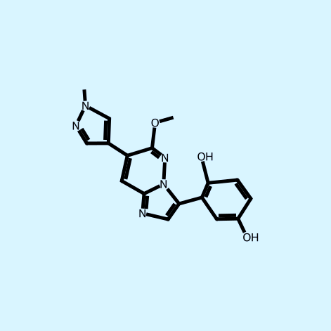 COc1nn2c(-c3cc(O)ccc3O)cnc2cc1-c1cnn(C)c1